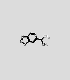 CC(C)c1cc2snnc2cn1